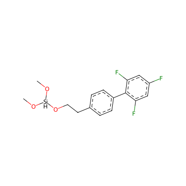 CO[SiH](OC)OCCc1ccc(-c2c(F)cc(F)cc2F)cc1